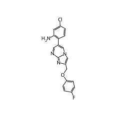 Nc1cc(Cl)ccc1-c1cnc2nc(COc3ccc(F)cc3)cn2c1